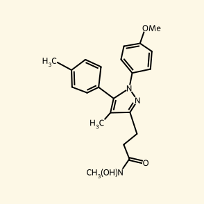 COc1ccc(-n2nc(CCC(=O)N(C)O)c(C)c2-c2ccc(C)cc2)cc1